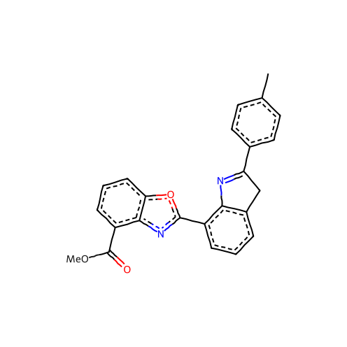 COC(=O)c1cccc2oc(-c3cccc4c3N=C(c3ccc(C)cc3)C4)nc12